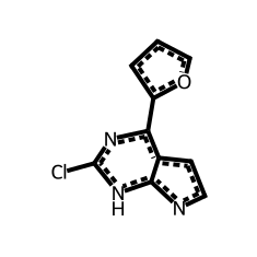 Clc1nc(-c2ccco2)c2ccnc-2[nH]1